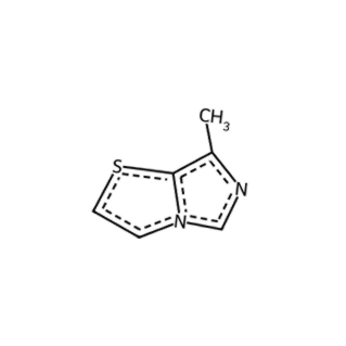 Cc1ncn2ccsc12